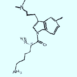 Cc1ccc2c(c1)c(CCN(C)C)cn2C(=O)[C@@H](N)CCCCN